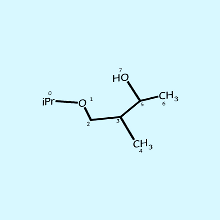 CC(C)OCC(C)C(C)O